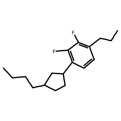 CCCCC1CCC(c2ccc(CCC)c(F)c2F)C1